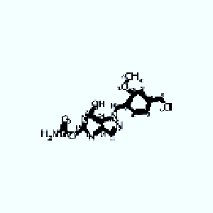 COc1cc(CCl)ccc1Cn1ncc2nc(OC(N)=O)nc(O)c21